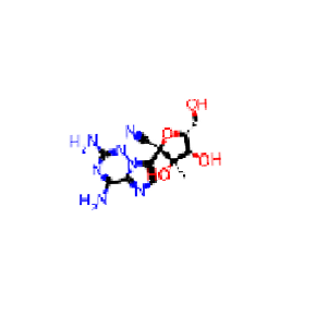 C[C@@]1(O)[C@H](O)[C@@H](CO)O[C@@]1(C#N)c1cnc2c(N)nc(N)nn12